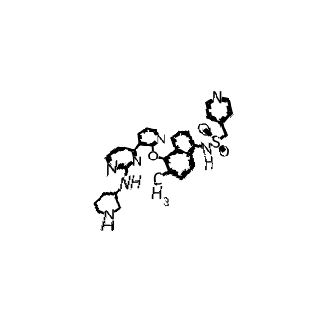 Cc1ccc2c(NS(=O)(=O)Cc3ccncc3)cccc2c1Oc1ncccc1-c1ccnc(NC2CCCNC2)n1